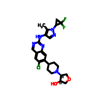 Cc1c(Nc2ncc3cc(Cl)c(C4CCN([C@H]5COC[C@H]5O)CC4)cc3n2)cnn1C1CC1(F)F